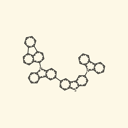 c1ccc2c(c1)-c1cccc3c(-n4c5ccccc5c5cc(-c6ccc7sc8ccc(-n9c%10ccccc%10c%10ccccc%109)cc8c7c6)ccc54)ccc-2c13